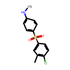 Cc1cc(S(=O)(=O)c2ccc(NC#N)cc2)ccc1Cl